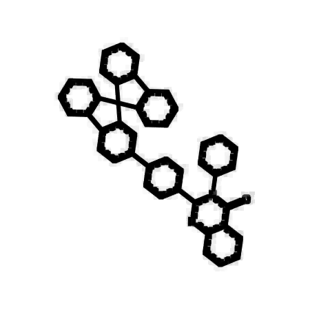 O=c1c2ccccc2nc(-c2ccc(-c3ccc4c(c3)C3(c5ccccc5-c5ccccc53)c3ccccc3-4)cc2)n1-c1ccccc1